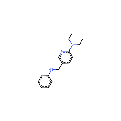 CCN(CC)c1ccc(CNc2ccccc2)cn1